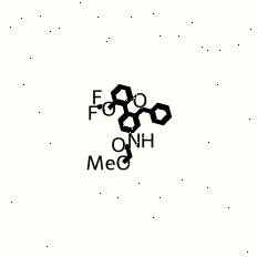 COCC(=O)Nc1ccc2c(c1)C(c1ccccc1)Oc1cccc(OC(F)F)c1-2